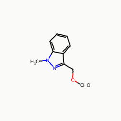 Cn1nc(COC=O)c2ccccc21